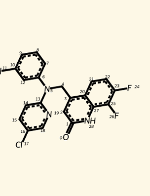 O=c1cc(CN(c2cccc(Cl)c2)c2ccc(Cl)cn2)c2ccc(F)c(F)c2[nH]1